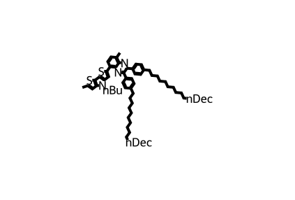 CCCCCCCCCCCCCCCCCCCCc1ccc(-c2nc3c(C)ccc(-c4cc5c(s4)c4sc(C)cc4n5CCCC)c3nc2-c2ccc(CCCCCCCCCCCCCCCCCCCC)cc2)cc1